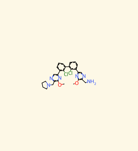 COc1nc(-c2cccc(-c3cccc(-c4cnc(CN5CCCC5)c(OC)n4)c3Cl)c2Cl)cnc1CN